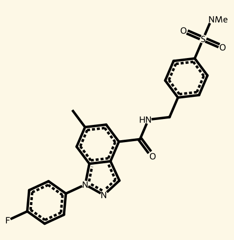 CNS(=O)(=O)c1ccc(CNC(=O)c2cc(C)cc3c2cnn3-c2ccc(F)cc2)cc1